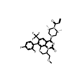 C=CC(=O)N1[C@H](C)CN(c2nc(=O)n3c4c(c(-c5ccc(F)cc5F)c(C(F)(F)F)cc24)SCC3COC)C[C@@H]1C